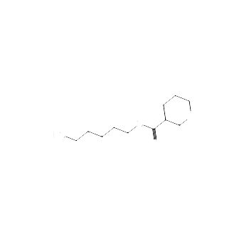 NCCCCCNC(=O)C1CCCOC1